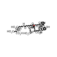 O=C(O)CC[C@H](NC(=O)NC(CCCCNC(=O)CCCCCCC(=O)NCCCC[C@@H](NC(=O)[C@@H](Cc1ccccc1)NC(=O)C(Cc1ccc(O)c(I)c1)NC(=O)CCC(C(=O)O)N1CCN(CC(=O)O)CCN(CC(=O)O)CCN(CC(=O)O)CC1)C(=O)O)C(=O)O)C(=O)O